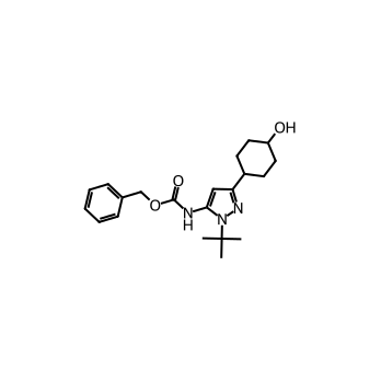 CC(C)(C)n1nc(C2CCC(O)CC2)cc1NC(=O)OCc1ccccc1